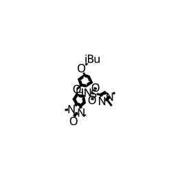 CCC(C)COc1cccc(Oc2cc3c(cc2NS(=O)(=O)c2cn(C)c(C)n2)n(C)c(=O)n3C)c1